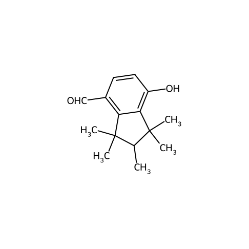 CC1C(C)(C)c2c(O)ccc(C=O)c2C1(C)C